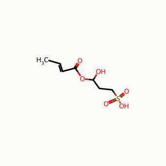 CC=CC(=O)OC(O)CCS(=O)(=O)O